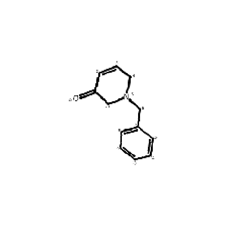 O=C1C=CCN(Cc2ccccc2)C1